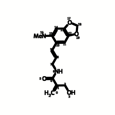 C=C(CO)C(=O)NC/C=C/c1cc2c(cc1NC)OCO2